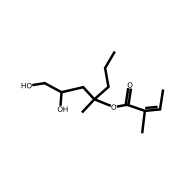 CC=C(C)C(=O)OC(C)(CCC)CC(O)CO